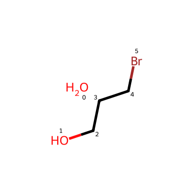 O.OCCCBr